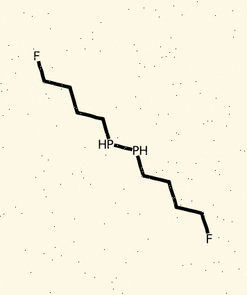 FCCCCPPCCCCF